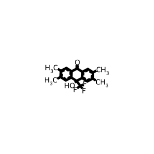 Cc1cc2c(cc1C)C(O)(C(F)(F)F)c1cc(C)c(C)cc1C2=O